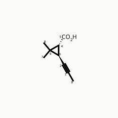 CC#C[C@@H]1[C@@H](C(=O)O)C1(C)C